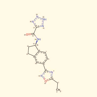 CCc1nc(-c2ccc3c(c2)CC[C@H]3NC(=O)c2nn[nH]n2)no1